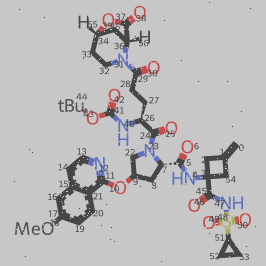 C=C1CC(NC(=O)[C@@H]2CC(Oc3nccc4cc(OC)ccc34)CN2C(=O)[C@H](CCC(=O)N2CC[C@H]3C[C@@H]2C(=O)O3)NC(=O)OC(C)(C)C)(C(=O)NS(=O)(=O)C2CC2)C1